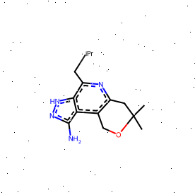 CC(C)Cc1nc2c(c3c(N)n[nH]c13)COC(C)(C)C2